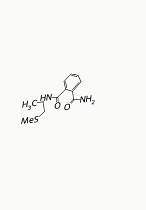 CSCC(C)NC(=O)c1ccccc1C(N)=O